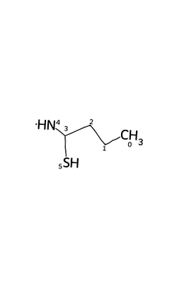 CCCC([NH])S